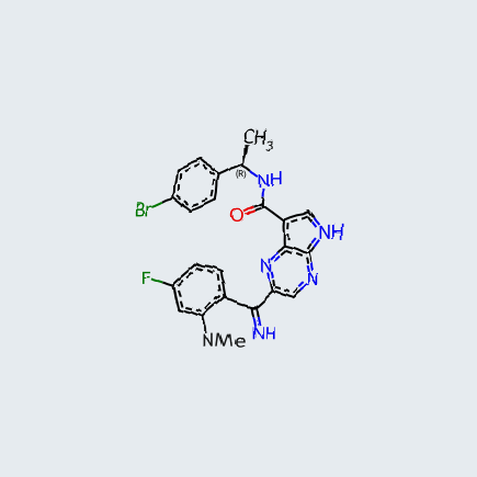 CNc1cc(F)ccc1C(=N)c1cnc2[nH]cc(C(=O)N[C@H](C)c3ccc(Br)cc3)c2n1